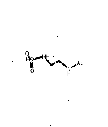 CC(=O)NCCN[SH](=O)=O